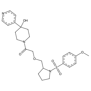 COc1ccc(S(=O)(=O)N2CCCC2COCC(=O)N2CCC(O)(c3ccncc3)CC2)cc1